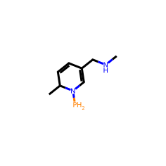 CNCC1=CN(P)C(C)C=C1